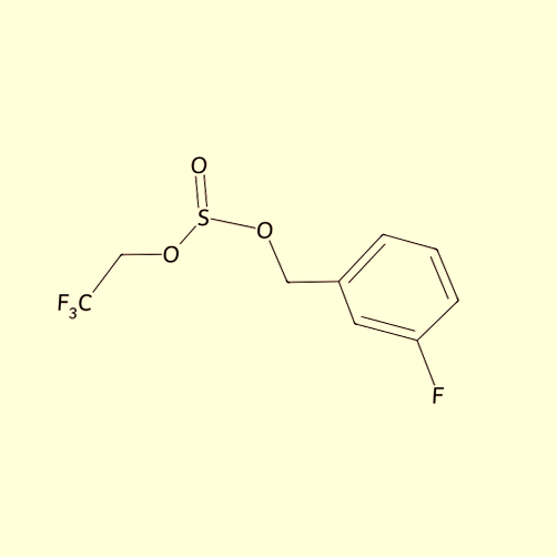 O=S(OCc1cccc(F)c1)OCC(F)(F)F